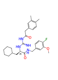 COc1cc(CNC(=O)[C@@H](CC2CCCCC2)NC(=N)NC(=O)Cc2ccc(C)c(C)c2)ccc1F